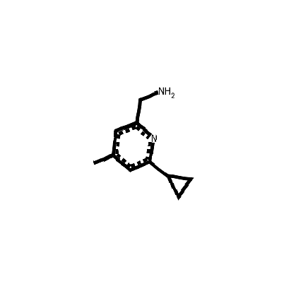 Cc1cc(CN)nc(C2CC2)c1